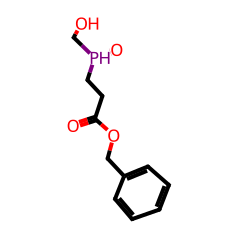 O=C(CC[PH](=O)CO)OCc1ccccc1